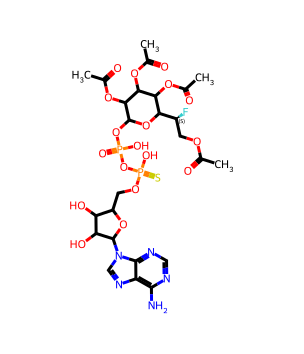 CC(=O)OC[C@H](F)C1OC(OP(=O)(O)OP(O)(=S)OCC2OC(n3cnc4c(N)ncnc43)C(O)C2O)C(OC(C)=O)C(OC(C)=O)C1OC(C)=O